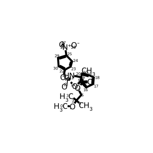 COC(C)(C)COC(=O)[C@H](C)NP(=O)(Oc1ccccc1)Oc1ccc([N+](=O)[O-])cc1